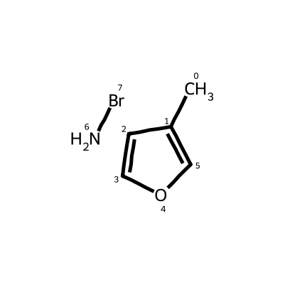 Cc1ccoc1.NBr